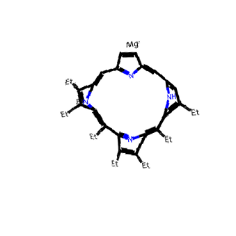 CCC1=C(CC)c2nc1c(CC)c1[nH]c(cc3nc(cc4c(CC)c(CC)c(c2CC)n4CC)C=C3)cc1CC.[Mg]